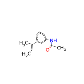 [CH2]C=C(C)c1cccc(NC(C)=O)c1